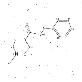 CN1CCC(C(=O)NCc2ccccc2)CC1